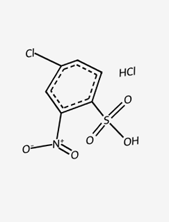 Cl.O=[N+]([O-])c1cc(Cl)ccc1S(=O)(=O)O